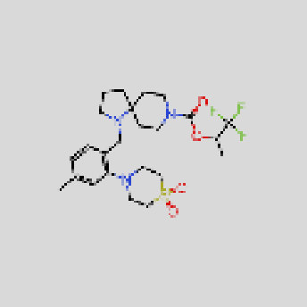 Cc1ccc(CN2CCCC23CCN(C(=O)OC(C)C(F)(F)F)CC3)c(N2CCS(=O)(=O)CC2)c1